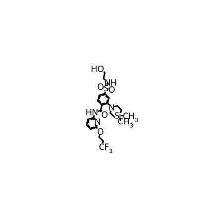 C[Si]1(C)CCN(c2cc(S(=O)(=O)NCCO)ccc2C(=O)Nc2cccc(OCCC(F)(F)F)n2)CC1